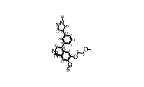 COCCOc1cc2c(-c3cccc(C4C=NN(C)C4)c3)cnnc2cc1OC